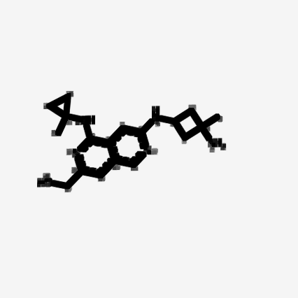 CC1(N)CC(Nc2cc3c(NC4(C)CC4)nc(CO)cc3cn2)C1